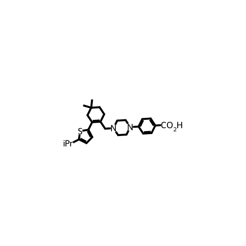 CC(C)c1ccc(C2=C(CN3CCN(c4ccc(C(=O)O)cc4)CC3)CCC(C)(C)C2)s1